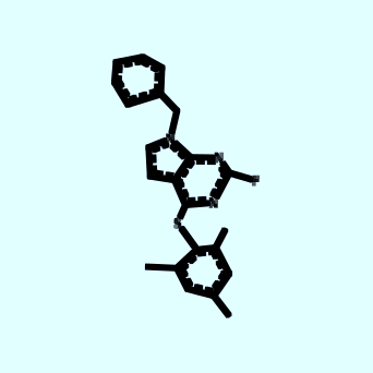 Cc1cc(C)c(Sc2nc(F)nc3c2ccn3Cc2ccccc2)c(C)c1